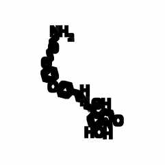 NCCOCCOc1ccc(Oc2ccc(CCNC[C@H](O)c3ccc(O)c4[nH]c(=O)ccc34)cc2)cc1